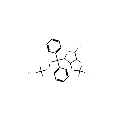 CC1(C)OC2C(O)OC(C(O[SiH2]C(C)(C)C)(c3ccccc3)c3ccccc3)C2O1